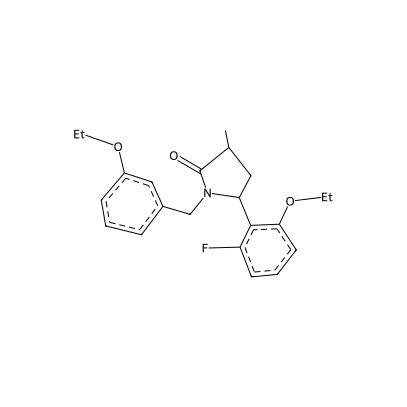 CCOc1cccc(CN2C(=O)C(C)CC2c2c(F)cccc2OCC)c1